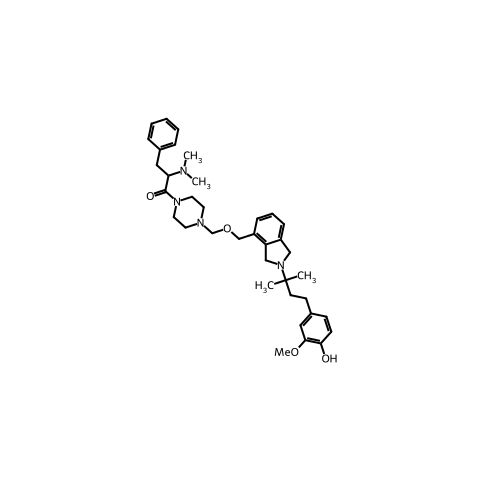 COc1cc(CCC(C)(C)N2Cc3cccc(COCN4CCN(C(=O)C(Cc5ccccc5)N(C)C)CC4)c3C2)ccc1O